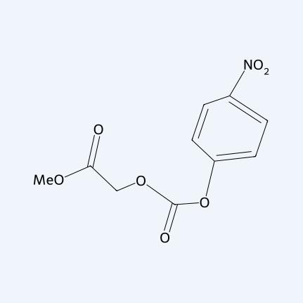 COC(=O)COC(=O)Oc1ccc([N+](=O)[O-])cc1